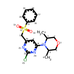 CC1COCC(C)N1c1cc(CS(=O)(=O)c2ccccc2)nc(Cl)n1